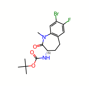 CN1C(=O)[C@@H](NC(=O)OC(C)(C)C)CCc2cc(F)c(Br)cc21